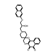 O=C1C(=O)c2ccccc2C2=C1SCC1(CCN(C[C@H](O)COc3ccc4ccccc4c3)CC1)O2